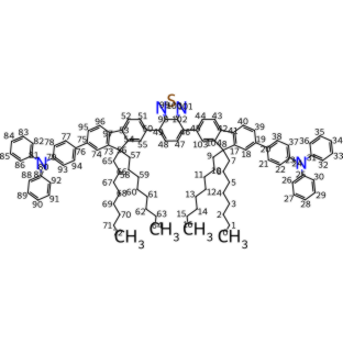 CCCCCCCCC1(CCCCCCCC)c2cc(-c3ccc(N(c4ccccc4)c4ccccc4)cc3)ccc2-c2ccc(-c3ccc(-c4ccc5c(c4)C(CCCCCCCC)(CCCCCCCC)c4cc(-c6ccc(N(c7ccccc7)c7ccccc7)cc6)ccc4-5)c4nsnc34)cc21